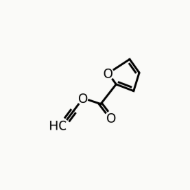 C#COC(=O)c1ccco1